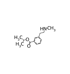 CNCCc1cccc(C(=O)OC(C)C)c1